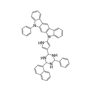 c1ccc(C2NC(c3c[nH]c(-n4c5ccccc5c5cc6c7ccccc7n(-c7ccccc7)c6cc54)c3)NC(c3cccc4ccccc34)N2)cc1